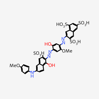 COc1ccc(Nc2ccc3c(O)c(N=Nc4cc(OC)c(N=Nc5cc6c(S(=O)(=O)O)cc(S(=O)(=O)O)cc6cc5S(=O)(=O)O)cc4O)c(S(=O)(=O)O)cc3c2)cc1